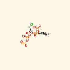 O=[PH]([O-])O[PH](=O)[O-].O=[PH]([O-])O[PH](=O)[O-].OCCCl.[Na+].[Na+].[Na+].[Na+]